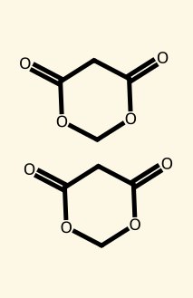 O=C1CC(=O)OCO1.O=C1CC(=O)OCO1